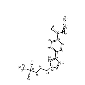 [N-]=[N+]=NC(=O)c1ccc(-c2ncn(CCCC(F)(F)C(F)(F)F)n2)cc1